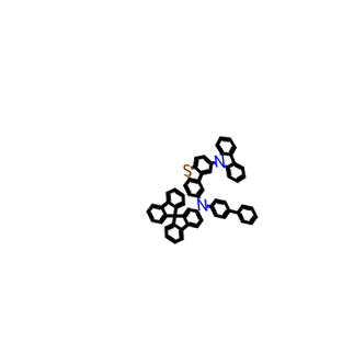 c1ccc(-c2ccc(N(c3ccc4c(c3)C3(c5ccccc5-c5ccccc53)c3ccccc3-4)c3ccc4sc5ccc(-n6c7ccccc7c7ccccc76)cc5c4c3)cc2)cc1